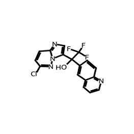 OC(c1ccc2ncccc2c1)(c1cnc2ccc(Cl)nn12)C(F)(F)F